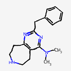 CN(C)c1nc(Cc2ccccc2)nc2c1CCNCC2